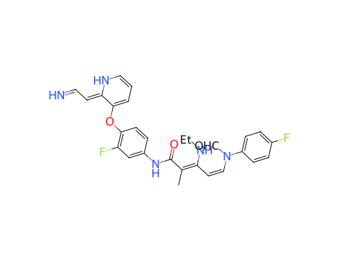 CCNC(/C=C\N(C=O)c1ccc(F)cc1)=C(/C)C(=O)Nc1ccc(OC2=CC=CN/C2=C\C=N)c(F)c1